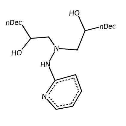 CCCCCCCCCCC(O)CN(CC(O)CCCCCCCCCC)Nc1ccccn1